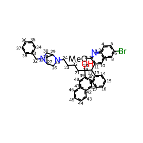 COc1nc2ccc(Br)cc2cc1C(c1ccccc1)C(O)(CCCCN1CC2CC1CN2Cc1ccccc1)c1ccc2ccccc2c1